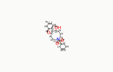 CC1=CC(C)=C(C2C(=O)CCCN(S(=O)(=O)C3CC=CCC3)CCCC2O)C(C)C1